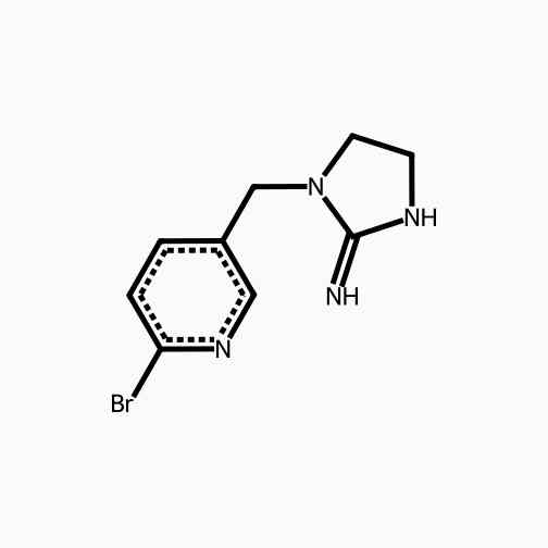 N=C1NCCN1Cc1ccc(Br)nc1